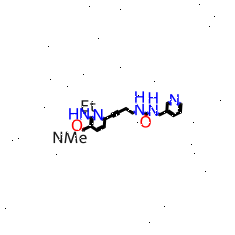 CCNc1nc(C#CCCNC(=O)NCc2cccnc2)ccc1C(=O)NC